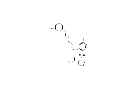 Cc1ccc(S(=O)(=O)N2CCC[C@H]2C(=O)OC(C)(C)C)c(O[C@H](C)CCCCN[C@@H]2CCC[C@@](C)(C#N)C2)c1